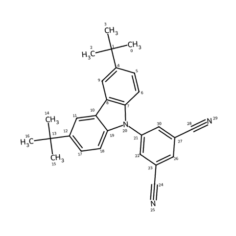 CC(C)(C)c1ccc2c(c1)c1cc(C(C)(C)C)ccc1n2-c1cc(C#N)cc(C#N)c1